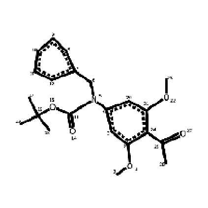 COc1cc(N(Cc2ccccc2)C(=O)OC(C)(C)C)cc(OC)c1C(C)=O